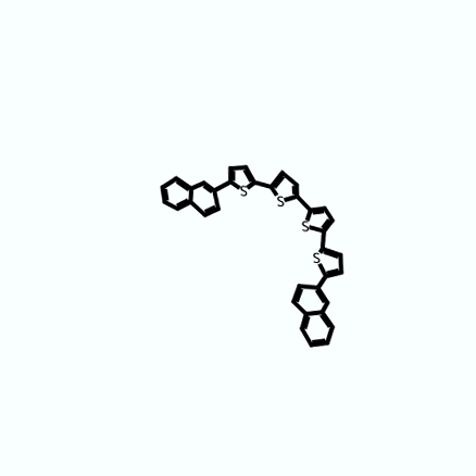 c1ccc2cc(-c3ccc(-c4ccc(-c5ccc(-c6ccc(-c7ccc8ccccc8c7)s6)s5)s4)s3)ccc2c1